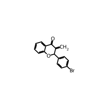 C=C1C(=O)c2ccccc2OC1c1ccc(Br)cc1